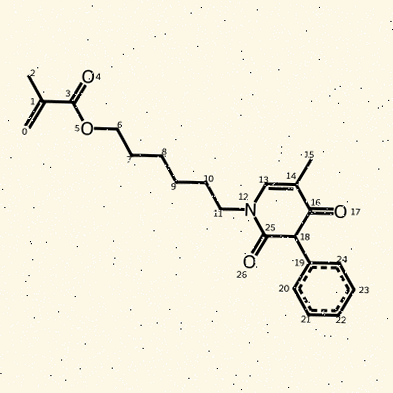 C=C(C)C(=O)OCCCCCCN1C=C(C)C(=O)C(c2ccccc2)C1=O